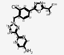 Nc1cnc(-c2nnn(Cc3ccc(-c4nnc(C(F)F)o4)cc3Cl)n2)nc1